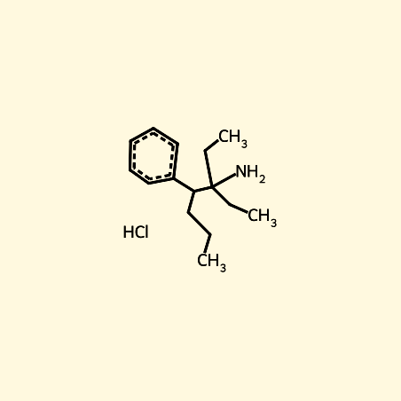 CCCC(c1ccccc1)C(N)(CC)CC.Cl